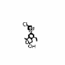 CCc1cc(-n2cc(Cl)cn2)cc(CC)c1CC(=O)O